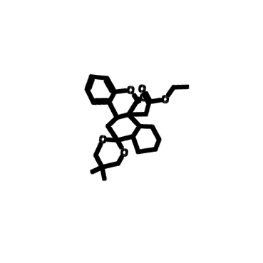 CCOC(=O)CC12C(=O)Oc3ccccc3C1CC1(OCC(C)(C)CO1)C1CCCCC12